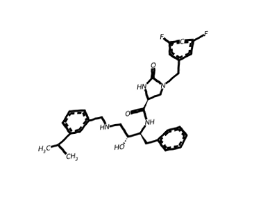 CC(C)c1cccc(CNC[C@@H](O)[C@H](Cc2ccccc2)NC(=O)[C@@H]2CN(Cc3cc(F)cc(F)c3)C(=O)N2)c1